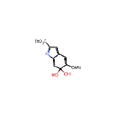 CCOC(=O)C1=NC2=CC(O)(O)C(OC)=CC2=C1